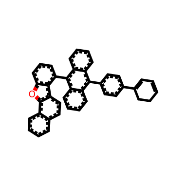 C1=CCCC(c2ccc(-c3c4ccccc4c(-c4cccc5oc6c7ccccc7ccc6c45)c4ccccc34)cc2)=C1